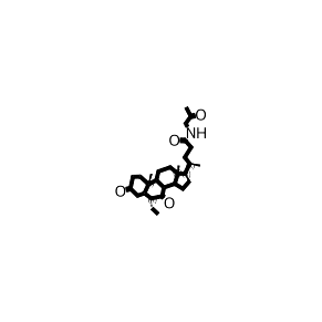 CC[C@H]1C(=O)C2C(CC[C@@]3(C)C2CC[C@@H]3[C@H](C)CCC(=O)NCC(C)=O)[C@@]2(C)CCC(=O)CC12